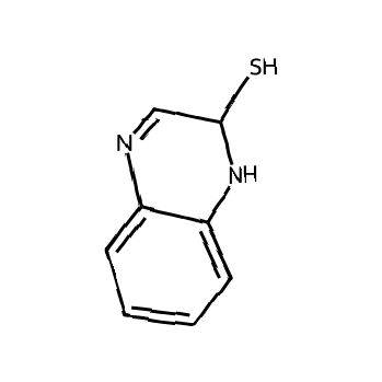 SC1C=Nc2ccccc2N1